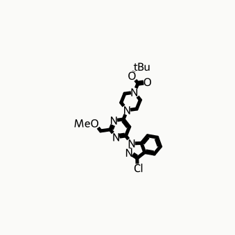 COCc1nc(N2CCN(C(=O)OC(C)(C)C)CC2)cc(-n2nc(Cl)c3ccccc32)n1